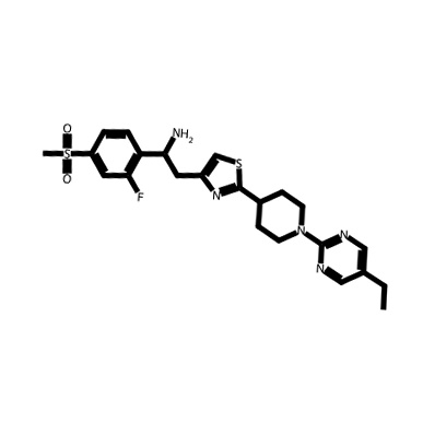 CCc1cnc(N2CCC(c3nc(CC(N)c4ccc(S(C)(=O)=O)cc4F)cs3)CC2)nc1